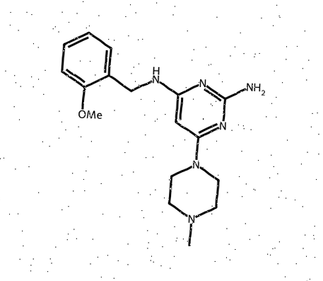 COc1ccccc1CNc1cc(N2CCN(C)CC2)nc(N)n1